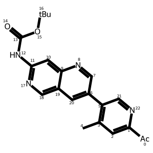 CC(=O)c1cc(C)c(-c2cnc3cc(NC(=O)OC(C)(C)C)ncc3c2)cn1